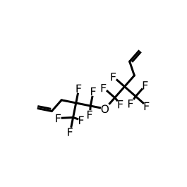 C=CCC(F)(C(F)(F)F)C(F)(F)OC(F)(F)C(F)(CC=C)C(F)(F)F